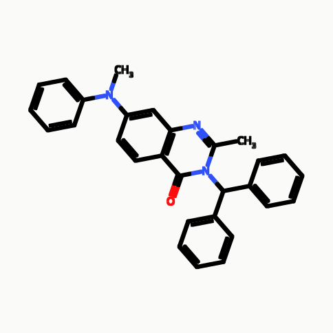 Cc1nc2cc(N(C)c3ccccc3)ccc2c(=O)n1C(c1ccccc1)c1ccccc1